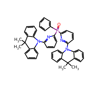 CC1(C)c2ccccc2N(c2cccc(P(=O)(c3ccccc3)c3cccc(N4c5ccccc5C(C)(C)c5ccccc54)n3)n2)c2ccccc21